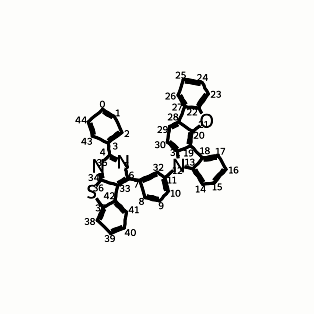 c1ccc(-c2nc(-c3cccc(-n4c5ccccc5c5c6oc7ccccc7c6ccc54)c3)c3c(n2)sc2ccccc23)cc1